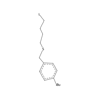 CCC(C)c1ccc(CSCCCCI)cc1